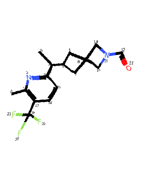 Cc1nc(C(C)C2CC3(C2)CN(C=O)C3)ccc1C(F)(F)F